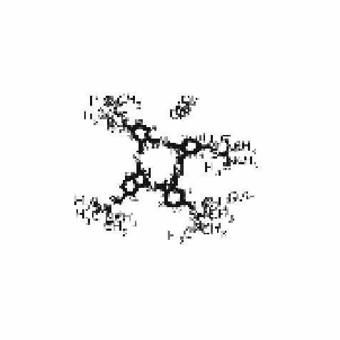 CN(C)C(SCc1ccc2c(c1)-c1nc-2nc2[n-]c(nc3nc(nc4[n-]c(n1)c1ccc(CSC(N(C)C)=[N+](C)C)cc41)-c1cc(CSC(N(C)C)=[N+](C)C)ccc1-3)c1ccc(CSC(N(C)C)=[N+](C)C)cc21)=[N+](C)C.[Cl-].[Cl-].[Cl-].[Cl-].[Cu+2]